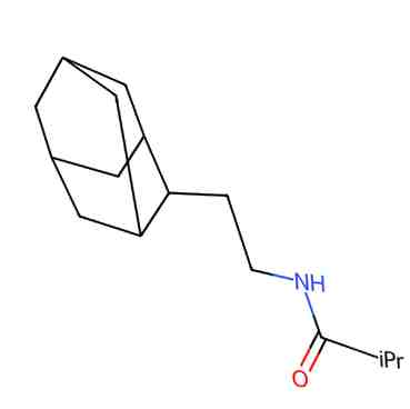 CC(C)C(=O)NCCC1C2CC3CC(C2)CC1C3